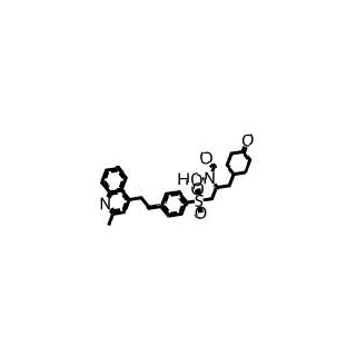 Cc1cc(CCc2ccc(S(=O)(=O)CC(CC3CCC(=O)CC3)N(O)C=O)cc2)c2ccccc2n1